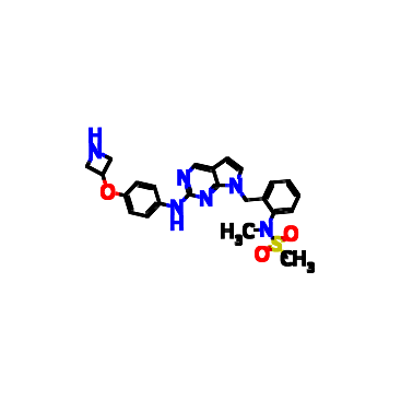 CN(c1ccccc1Cn1ccc2cnc(Nc3ccc(OC4CNC4)cc3)nc21)S(C)(=O)=O